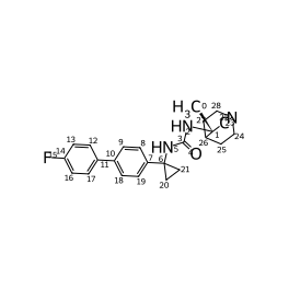 C[C@@]1(NC(=O)NC2(c3ccc(-c4ccc(F)cc4)cc3)CC2)CN2CCC1CC2